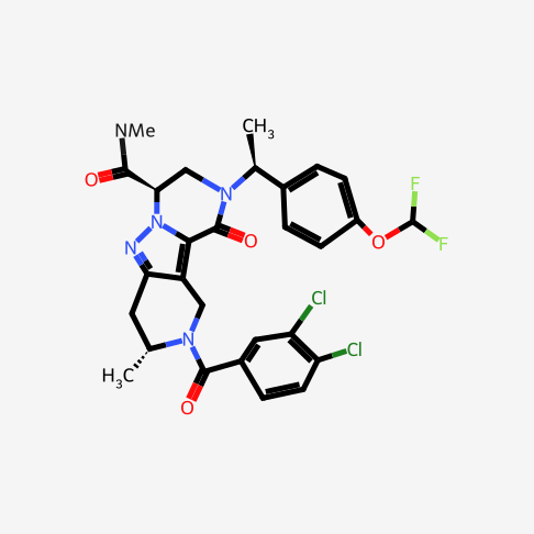 CNC(=O)[C@H]1CN([C@@H](C)c2ccc(OC(F)F)cc2)C(=O)c2c3c(nn21)C[C@@H](C)N(C(=O)c1ccc(Cl)c(Cl)c1)C3